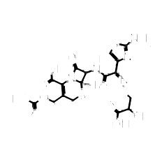 CC(=O)OCC1=C(C(=O)O)N2C(=O)C(NC(=O)/C(=N\OCC(C)C(=O)O)c3csc(N)n3)[C@@H]2SC1